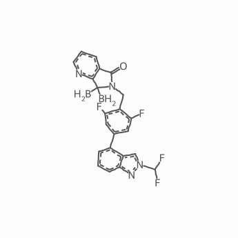 BC1(B)c2ncccc2C(=O)N1Cc1c(F)cc(-c2cccc3nn(C(F)F)cc23)cc1F